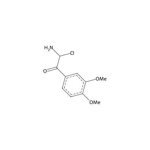 COc1ccc(C(=O)C(N)Cl)cc1OC